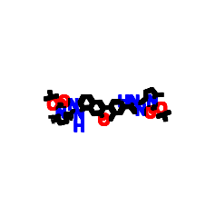 CC1CCC(c2ncc(-c3ccc4c(c3)COc3cc5c(ccc6nc([C@@H]7CC[C@H](C)N7C(=O)OC(C)(C)C)[nH]c65)cc3-4)[nH]2)N1C(=O)OC(C)(C)C